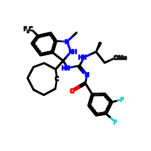 COC[C@H](C)N/C(=N/C(=O)c1ccc(F)c(F)c1)NC1(C2CCCCCCC2)NN(C)c2cc(C(F)(F)F)ccc21